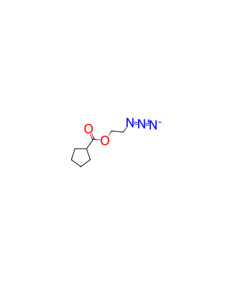 [N-]=[N+]=NCCOC(=O)C1CCCC1